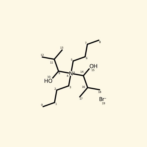 CCCC[N+](CCCC)(C(O)C(C)C)C(O)C(C)C.[Br-]